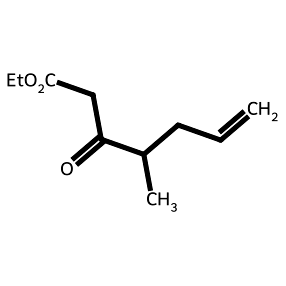 C=CCC(C)C(=O)CC(=O)OCC